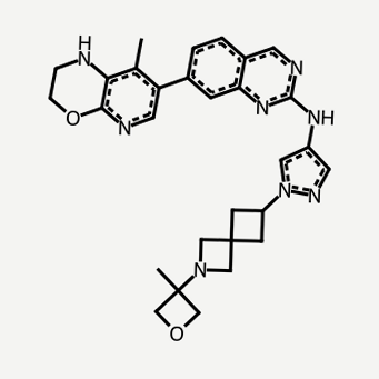 Cc1c(-c2ccc3cnc(Nc4cnn(C5CC6(C5)CN(C5(C)COC5)C6)c4)nc3c2)cnc2c1NCCO2